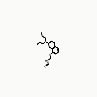 CCCN(CCC)C1CCc2cccc(OCNC=O)c2C1